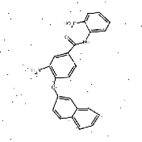 Nc1cc(C(=O)Nc2ccccc2C(=O)O)ccc1Oc1ccc2ccccc2c1